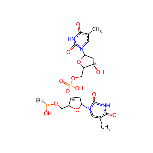 CCC(C)P(O)OCC1OC(n2cc(C)c(=O)[nH]c2=O)C[C@H]1OP(=O)(O)OCC1OC(n2cc(C)c(=O)[nH]c2=O)C[C@H]1O